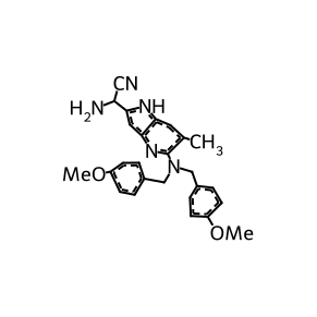 COc1ccc(CN(Cc2ccc(OC)cc2)c2nc3cc(C(N)C#N)[nH]c3cc2C)cc1